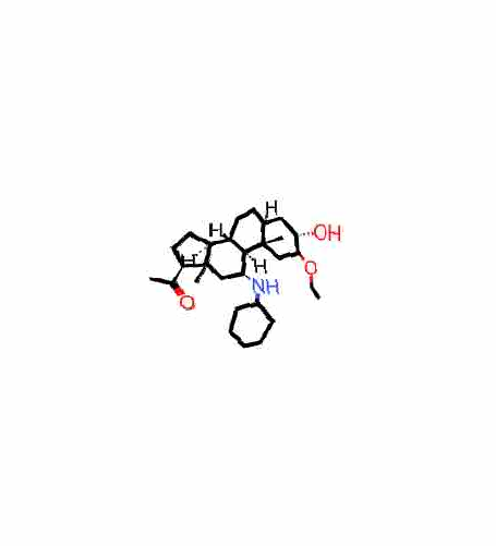 CCO[C@H]1C[C@@]2(C)[C@@H](CC[C@@H]3[C@@H]2[C@H](NC2CCCCC2)C[C@]2(C)[C@@H](C(C)=O)CC[C@@H]32)C[C@@H]1O